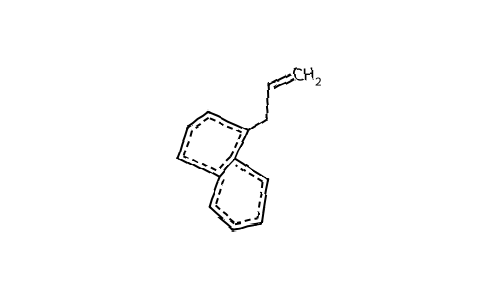 C=CCc1cccc2ccccc12